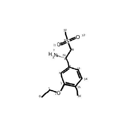 CCOc1cc([C@H](N)CS(C)(=O)=O)ccc1C